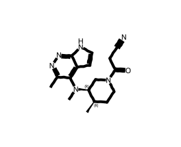 Cc1nnc2[nH]ccc2c1N(C)[C@H]1CN(C(=O)CC#N)CC[C@H]1C